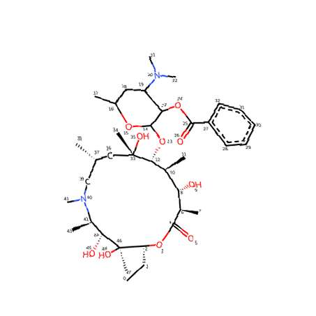 CC[C@H]1OC(=O)[C@H](C)[C@@H](O)[C@H](C)[C@@H](OC2OC(C)CC(N(C)C)C2OC(=O)c2ccccc2)[C@@](C)(O)C[C@@H](C)CN(C)[C@H](C)[C@@H](O)[C@]1(C)O